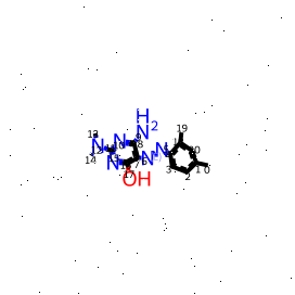 Cc1ccc(/N=N/c2c(N)nc(N(C)C)nc2O)c(C)c1